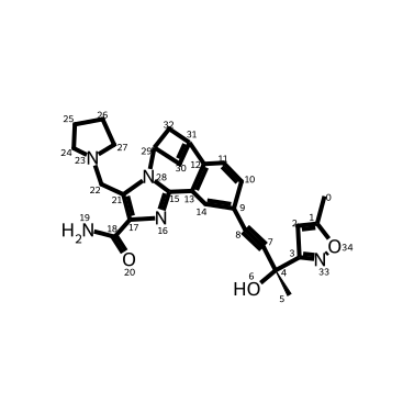 Cc1cc([C@](C)(O)C#Cc2ccc3c(c2)-c2nc(C(N)=O)c(CN4CCCC4)n2C2C=C3C2)no1